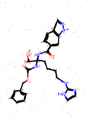 O=C(NC(CCCCNc1ncc[nH]1)(NC(=O)c1ccc2cn[nH]c2c1)C(=O)O)OCc1ccccc1